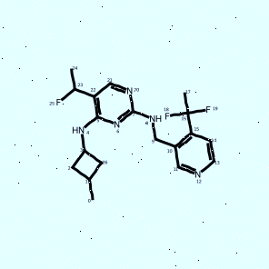 CC1CC(Nc2nc(NCc3cnccc3C(C)(F)F)ncc2C(C)F)C1